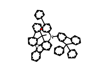 CC1(c2c(N(c3ccc(-c4ccccc4)cc3)c3ccc4c(c3)C(c3ccccc3)(c3ccccc3)c3ccccc3-4)ccc3c2oc2ccccc23)c2ccccc2-c2ccccc21